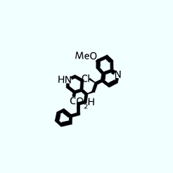 COc1ccc2nccc([C@H](Cl)C[C@@H](CCCc3ccccc3)C3CCNCC3C(=O)O)c2c1